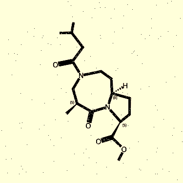 COC(=O)[C@@H]1CC[C@@H]2CCN(C(=O)CC(C)C)C[C@H](C)C(=O)N21